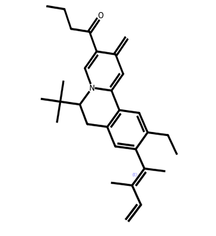 C=C/C(C)=C(\C)c1cc2c(cc1CC)C1=CC(=C)C(C(=O)CCC)=CN1C(C(C)(C)C)C2